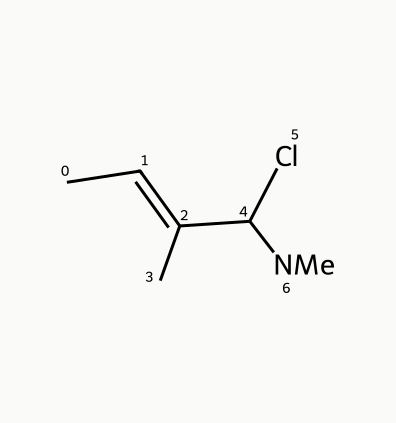 C/C=C(\C)C(Cl)NC